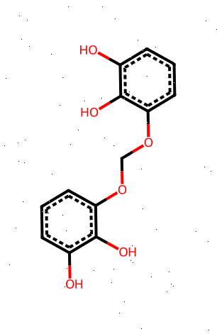 Oc1cccc(OCOc2cccc(O)c2O)c1O